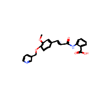 COc1cc(/C=C/C(=O)Nc2ccccc2C(=O)O)ccc1OCc1cccnc1